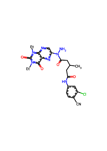 CCn1c(=O)c2nc(N(N)C(=O)CC(C)CC(=O)Nc3ccc(C#N)c(Cl)c3)cnc2n(CC)c1=O